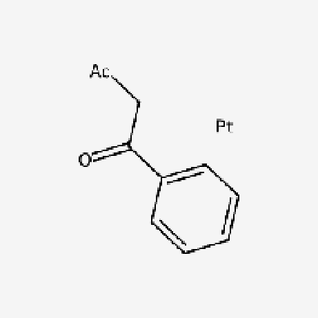 CC(=O)CC(=O)c1ccccc1.[Pt]